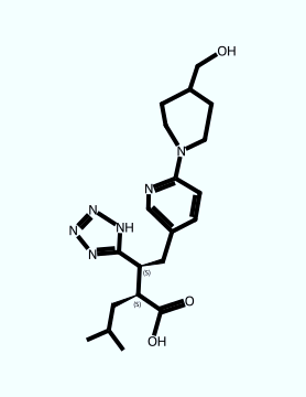 CC(C)C[C@H](C(=O)O)[C@H](Cc1ccc(N2CCC(CO)CC2)nc1)c1nnn[nH]1